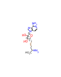 Nc1nccc2c1ncn2[C@@H]1O[C@H](CSCCC(N)C(=O)O)[C@@H](O)[C@H]1O